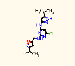 CC(C)c1cc(CNc2nc(Cl)cc(Nc3cc(C(C)C)[nH]n3)n2)on1